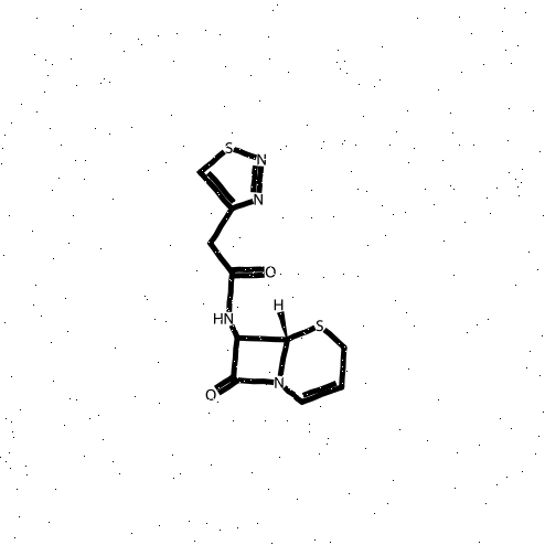 O=C(Cc1csnn1)NC1C(=O)N2C=CCS[C@@H]12